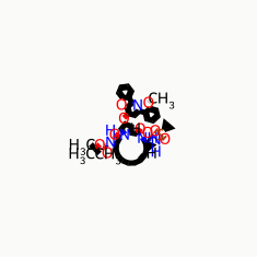 COc1ccccc1-c1cc(O[C@@H]2C[C@H]3C(=O)N[C@]4(C(=O)NS(=O)(=O)C5CC5)C[C@H]4/C=C\CCCCC[C@H](NC(=O)OC(C)(C)C)C(=O)N3C2)c2oc3ccccc3c2n1